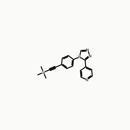 C[Si](C)(C)C#Cc1ccc(-n2cnnc2-c2ccncc2)cc1